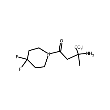 CC(N)(CC(=O)N1CCC(F)(F)CC1)C(=O)O